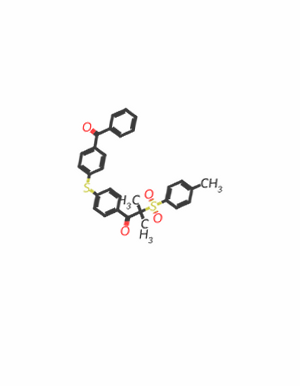 Cc1ccc(S(=O)(=O)C(C)(C)C(=O)c2ccc(Sc3ccc(C(=O)c4ccccc4)cc3)cc2)cc1